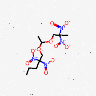 CCCC(COC(C)OCC(C)([N+](=O)[O-])[N+](=O)[O-])([N+](=O)[O-])[N+](=O)[O-]